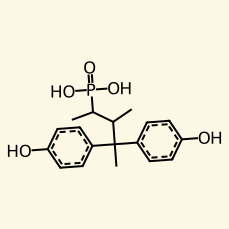 CC(C(C)P(=O)(O)O)C(C)(c1ccc(O)cc1)c1ccc(O)cc1